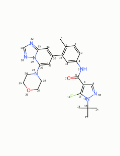 Cc1ccc(NC(=O)c2cnn(C(C)(C)C)c2F)cc1-c1cc(N2CCOCC2)n2ncnc2c1